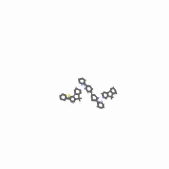 CC1(C)c2ccccc2-c2ccc(-n3c4ccccc4c4ccc(-c5ccc6c7ccccc7n(-c7ccc8c(c7)C(C)(C)c7ccc9c(sc%10ccccc%109)c7-8)c6c5)cc43)cc21